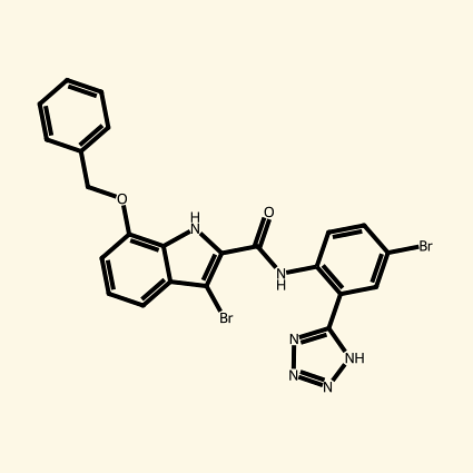 O=C(Nc1ccc(Br)cc1-c1nnn[nH]1)c1[nH]c2c(OCc3ccccc3)cccc2c1Br